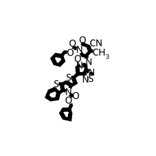 CC1=C(C#N)C(=O)N(C(=O)OCc2ccccc2)C(=O)/C1=N\c1ncc(-c2cc3c(s2)c2sc4ccccc4c2n3C(=O)OCc2ccccc2)c2nsnc12